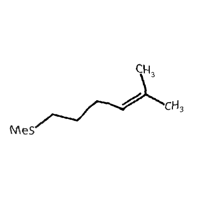 CSCCCC=C(C)C